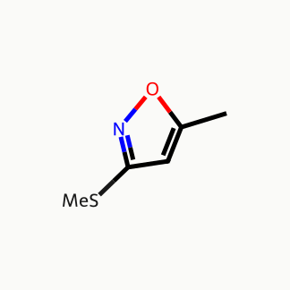 CSc1cc(C)on1